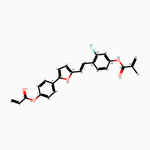 C=CC(=O)Oc1ccc(-c2ccc(/C=C/c3ccc(OC(=O)C(=C)C)cc3F)o2)cc1